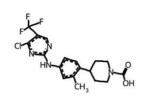 Cc1cc(Nc2ncc(C(F)(F)F)c(Cl)n2)ccc1C1CCN(C(=O)O)CC1